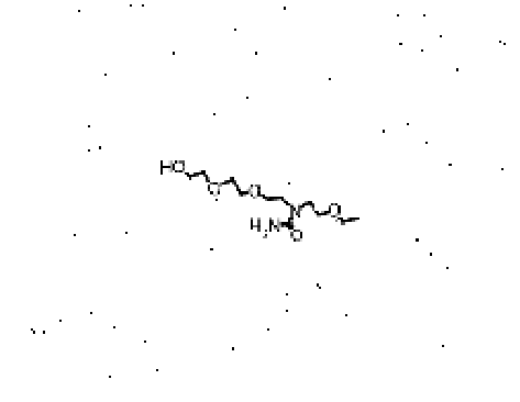 C[CH]OCCN(CCOCCOCCO)C(N)=O